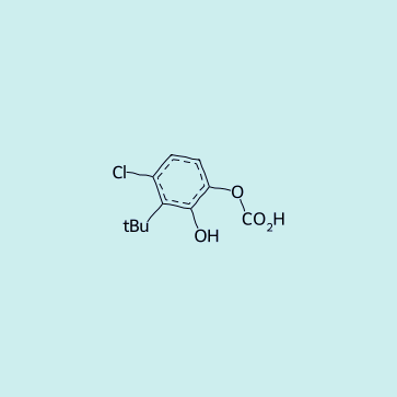 CC(C)(C)c1c(Cl)ccc(OC(=O)O)c1O